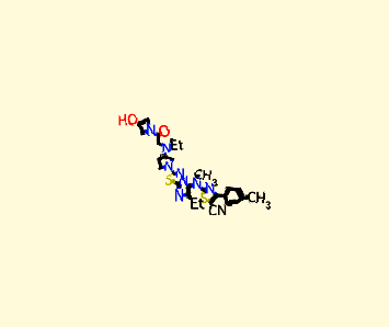 CCc1nc2sc(N3CC[C@@H](N(CC)CC(=O)N4CC(O)C4)C3)nn2c1N(C)c1nc(-c2ccc(C)cc2)c(C#N)s1